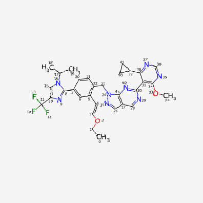 CCO/C=C/c1cc(-c2nc(C(F)(F)F)cn2C(C)C)ccc1Cn1ncc2cnc(-c3c(OC)ncnc3C3CC3)nc21